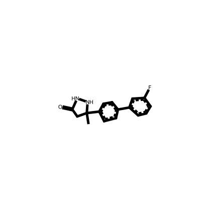 CC1(c2ccc(-c3cccc(F)c3)cc2)CC(=O)NN1